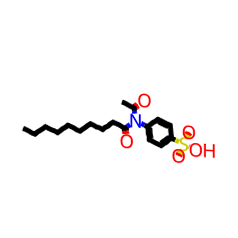 CCCCCCCCCC(=O)N(C(C)=O)c1ccc(S(=O)(=O)O)cc1